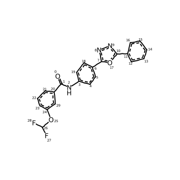 O=C(Nc1ccc(-c2nnc(-c3ccccc3)o2)cc1)c1cccc(OC(F)F)c1